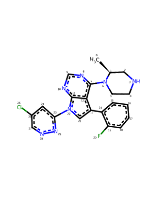 C[C@H]1CNCCN1c1ncnc2c1c(-c1ccccc1F)cn2-c1cc(Cl)cnn1